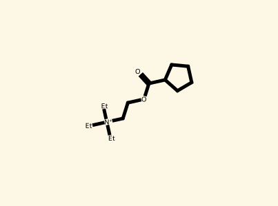 CC[N+](CC)(CC)CCOC(=O)C1CCCC1